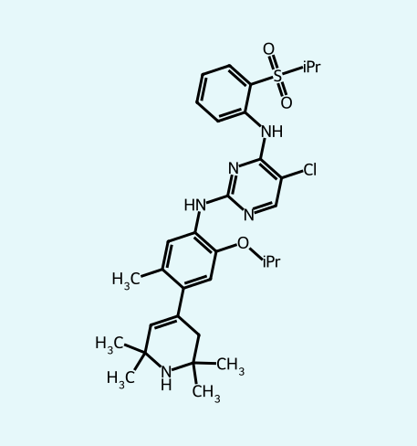 Cc1cc(Nc2ncc(Cl)c(Nc3ccccc3S(=O)(=O)C(C)C)n2)c(OC(C)C)cc1C1=CC(C)(C)NC(C)(C)C1